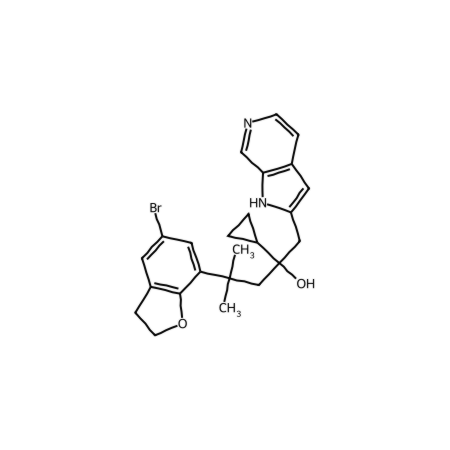 CC(C)(CC(O)(Cc1cc2ccncc2[nH]1)C1CC1)c1cc(Br)cc2c1OCC2